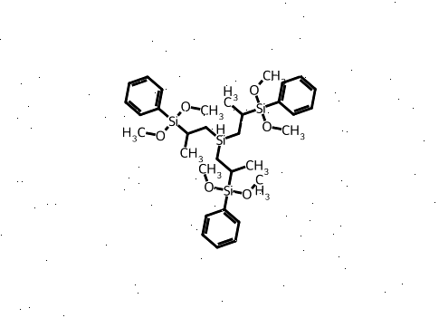 CO[Si](OC)(c1ccccc1)C(C)C[SiH](CC(C)[Si](OC)(OC)c1ccccc1)CC(C)[Si](OC)(OC)c1ccccc1